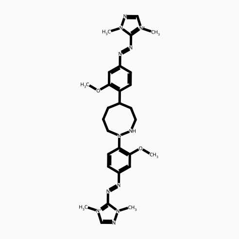 COc1cc(N=Nc2n(C)nc[n+]2C)ccc1C1CCCN(c2ccc(N=Nc3n(C)nc[n+]3C)cc2OC)NCC1